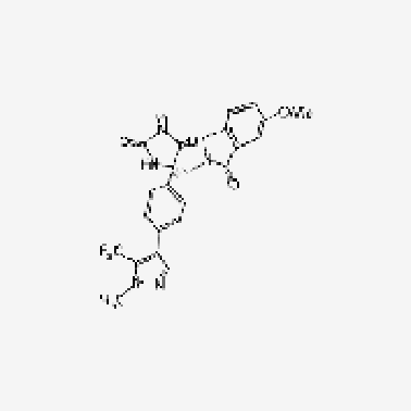 COc1ccc2c(c1)C(=O)N(C[C@]1(c3ccc(-c4cnn(C)c4C(F)(F)F)cc3)NC(=O)NC1=O)C2